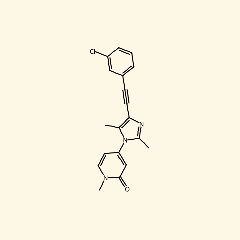 Cc1nc(C#Cc2cccc(Cl)c2)c(C)n1-c1ccn(C)c(=O)c1